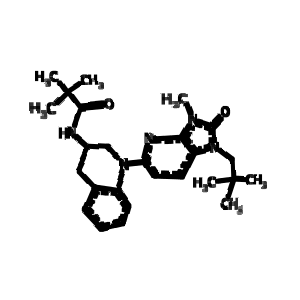 Cn1c(=O)n(CC(C)(C)C)c2ccc(N3CC(NC(=O)C(C)(C)C)Cc4ccccc43)nc21